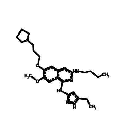 CCCCNc1nc(Nc2cc(CC)[nH]n2)c2cc(OC)c(OCCCN3CCCC3)cc2n1